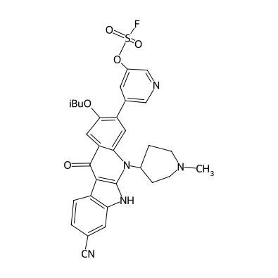 CC(C)COc1cc2c(=O)c3c4ccc(C#N)cc4[nH]c3n(C3CCN(C)CC3)c2cc1-c1cncc(OS(=O)(=O)F)c1